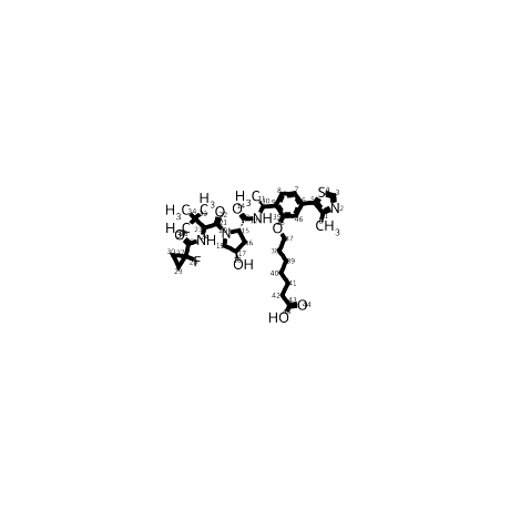 Cc1ncsc1-c1ccc([C@H](C)NC(=O)[C@@H]2C[C@@H](O)CN2C(=O)C(NC(=O)C2(F)CC2)C(C)(C)C)c(OCCCCCCC(=O)O)c1